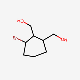 OCC1CCCC(Br)C1CO